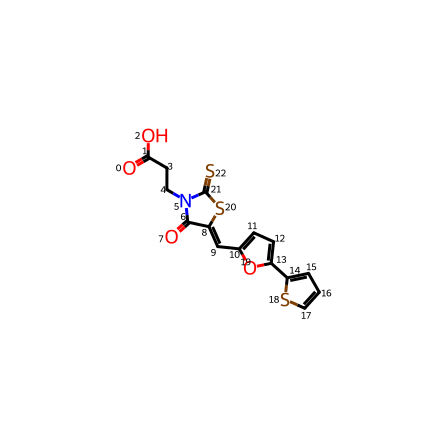 O=C(O)CCN1C(=O)C(=Cc2ccc(-c3cccs3)o2)SC1=S